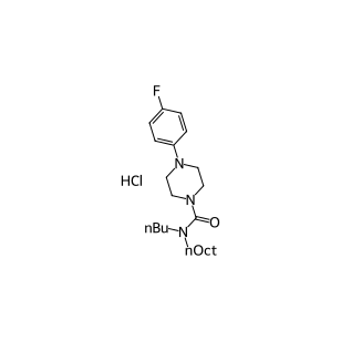 CCCCCCCCN(CCCC)C(=O)N1CCN(c2ccc(F)cc2)CC1.Cl